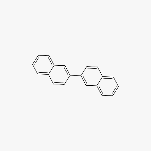 [c]1cc(-c2ccc3ccccc3c2)cc2ccccc12